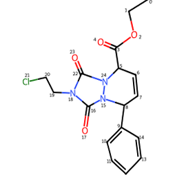 CCOC(=O)C1C=CC(c2ccccc2)n2c(=O)n(CCCl)c(=O)n21